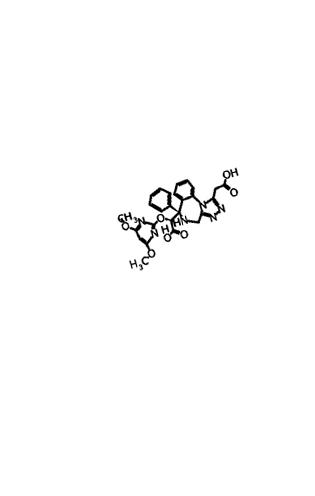 COc1cc(OC)nc(O[C@H](C(=O)O)[C@@]2(c3ccccc3)NCc3nnc(CC(=O)O)n3-c3ccccc32)n1